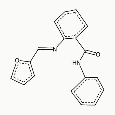 O=C(Nc1ccccc1)c1ccccc1N=Cc1ccco1